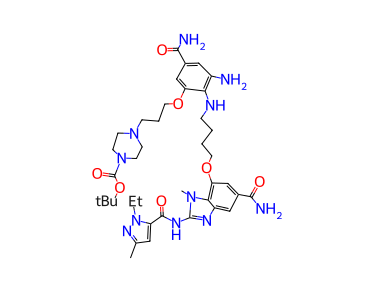 CCn1nc(C)cc1C(=O)Nc1nc2cc(C(N)=O)cc(OCCCCNc3c(N)cc(C(N)=O)cc3OCCCN3CCN(C(=O)OC(C)(C)C)CC3)c2n1C